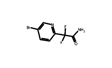 NC(=O)C(F)(F)c1ccc(Br)cn1